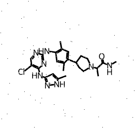 CNC(=O)C(C)N1CCC(c2cc(C)c(Nc3ncc(Cl)c(Nc4cc(C)[nH]n4)n3)cc2C)CC1